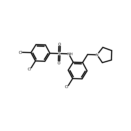 O=S(=O)(Nc1cc(Cl)ccc1CN1CCCC1)c1ccc(Cl)c(Cl)c1